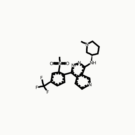 CN1CCC[C@@H](Nc2nnc(-c3ccc(C(F)(F)F)cc3S(C)(=O)=O)c3ccncc23)C1